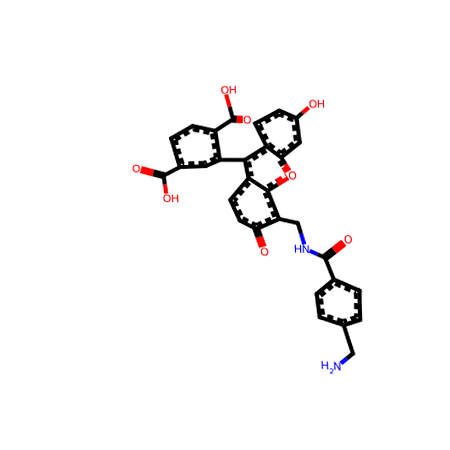 NCc1ccc(C(=O)NCc2c3oc4cc(O)ccc4c(-c4cc(C(=O)O)ccc4C(=O)O)c-3ccc2=O)cc1